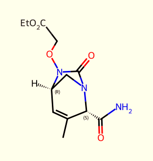 CCOC(=O)CON1C(=O)N2C[C@H]1C=C(C)[C@H]2C(N)=O